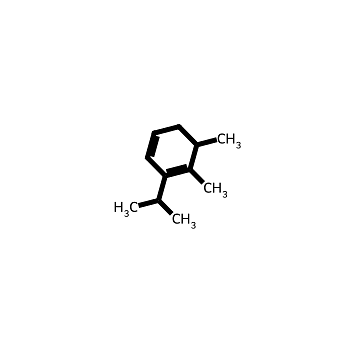 CC1=C(C(C)C)C=CCC1C